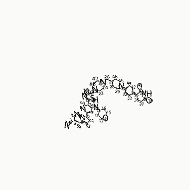 N#Cc1cnn2c(-c3cc(NC4CCOCC4)c(-c4nnc(N5CCN(CC6CCN(c7ccc(C8CCC(=O)NC8=O)cc7)CC6)CC5)s4)cn3)ccc2c1